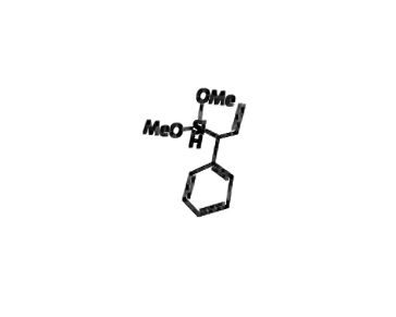 C=CC(c1ccccc1)[SiH](OC)OC